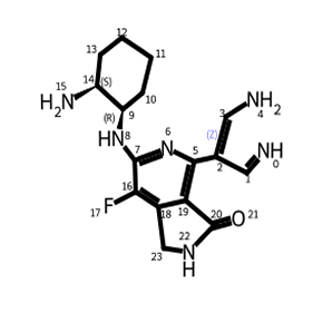 N=C/C(=C\N)c1nc(N[C@@H]2CCCC[C@@H]2N)c(F)c2c1C(=O)NC2